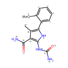 COc1ccccc1-c1[nH]c(NC(N)=O)c(C(N)=O)c1C